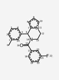 Cc1cccc(C2c3cccn3CCN2C(=O)c2cccc(F)c2)c1